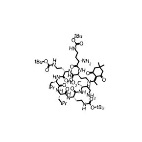 CC(NCC[C@H](NC(=O)[C@@H](N)CCNC(=O)OC(C)(C)C)C(=O)N[C@@H](CCNC(=O)OC(C)(C)C)C(=O)N[C@H](CC(C)C)C(=O)N[C@@H](CC(C)C)C(=O)N[C@@H](CCNC(=O)OC(C)(C)C)C(=O)N[C@@H](CCN)C(=O)O)=C1C(=O)CC(C)(C)CC1=O